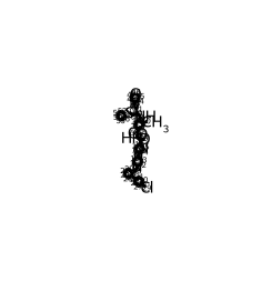 Cc1cc(S(=O)(=O)NC(=O)c2ccc(N3CCN(Cc4ccccc4-c4ccc(Cl)cc4)CC3)cn2)ccc1N[C@H](CCN1CCOCC1)CSc1ccccc1